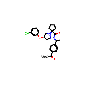 COC(=O)c1ccc(C(C)NC(=O)C2(N3CC[C@@H](Oc4cccc(Cl)c4)C3)CCCC2)cc1